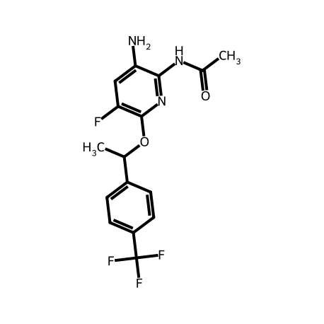 CC(=O)Nc1nc(OC(C)c2ccc(C(F)(F)F)cc2)c(F)cc1N